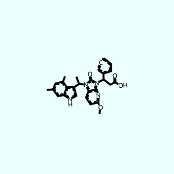 COc1ccc2c(n1)n(C(CC(=O)O)c1ccccc1)c(=O)n2C(C)c1c[nH]c2cc(C)cc(C)c12